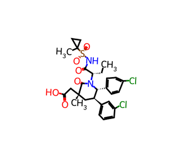 CC[C@@H](C(=O)NS(=O)(=O)C1(C)CC1)N1C(=O)[C@@](C)(CC(=O)O)C[C@H](c2cccc(Cl)c2)[C@H]1c1ccc(Cl)cc1